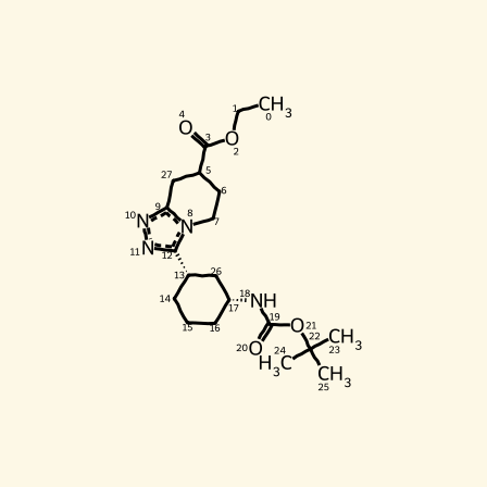 CCOC(=O)C1CCn2c(nnc2[C@H]2CCC[C@@H](NC(=O)OC(C)(C)C)C2)C1